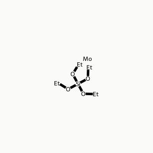 CCO[Si](OCC)(OCC)OCC.[Mo]